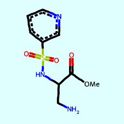 COC(=O)C(CN)NS(=O)(=O)c1cccnc1